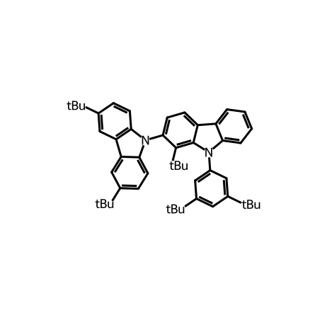 CC(C)(C)c1cc(-n2c3ccccc3c3ccc(-n4c5ccc(C(C)(C)C)cc5c5cc(C(C)(C)C)ccc54)c(C(C)(C)C)c32)cc(C(C)(C)C)c1